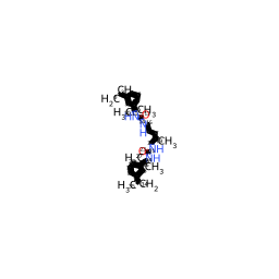 C=C(C)c1cccc(C(C)(C)NC(=O)NCCCC(C)CNC(=O)NC(C)(C)c2cccc(C(=C)C)c2)c1